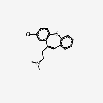 CN(C)CCC1=Cc2ccccc2Sc2ccc(Cl)cc21